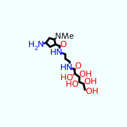 CNC1CC(N)CC1C(=O)NCCCNC(=O)[C@H](O)[C@@H](O)[C@H](O)[C@H](O)CO